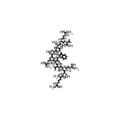 CC(C)[C@H](NC(=O)[C@H](CCCNC(=N)N)NC(=O)[C@H](CO)NC(=O)[C@H](Cc1c[nH]c2ccccc12)NC(=O)[C@H](CO)NC(=O)[C@H](CCCNC(=N)N)NC(=O)[C@@H](NC(=O)[C@@H](NC(=O)[C@H](CCCNC(=N)N)NC(=O)[C@H](CO)NC(=O)[C@@H](N)CCCNC(=N)N)C(C)C)C(C)C)C(=O)O